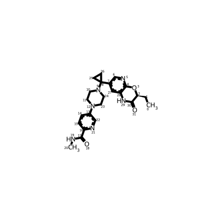 CC[C@@H]1Oc2ncc(C3(N4CCN(c5ccc(C(=O)NC)nc5)CC4)CC3)cc2NC1=O